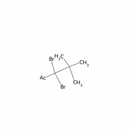 CC(=O)C(Br)(Br)C(C)(C)C